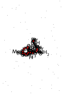 COc1cc2cc(c1Cl)N(C)C(=O)C[C@H](OC(=O)Nc1ccc(NC(=O)[C@H](CCCNC(N)=O)NC(=O)[C@@H](NC(=O)CCCCCNC(=O)C(CBr)CBr)C(C)C)c(Br)c1)[C@]1(C)O[C@H]1[C@H](C)[C@@H]1C[C@@](O)(NC(=O)O1)[C@H](OC)/C=C/C=C(\C)C2